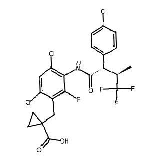 C[C@H]([C@H](C(=O)Nc1c(Cl)cc(Cl)c(CC2(C(=O)O)CC2)c1F)c1ccc(Cl)cc1)C(F)(F)F